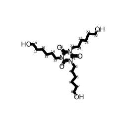 O=c1n(CCCCCCO)c(=O)n(CCCCCCO)c(=O)n1CCCCCCO